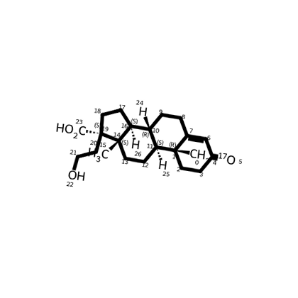 C[C@]12CCC(=[17O])C=C1CC[C@@H]1[C@@H]2CC[C@@]2(C)[C@H]1CC[C@@]2(CCO)C(=O)O